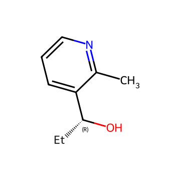 CC[C@@H](O)c1cccnc1C